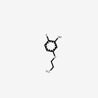 CCCOc1ccc(F)c(O)c1